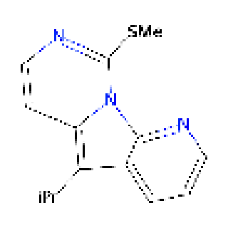 CSc1nccc2c(C(C)C)c3cccnc3n12